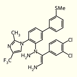 CSc1cccc(-c2ccc(-n3cc(C(F)(F)F)nc3C)c(N(N)/C(=C\N)c3ccc(Cl)c(Cl)c3)c2)c1